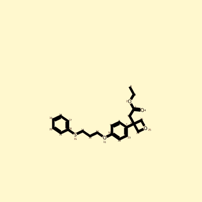 CCOC(=O)CC1(c2ccc(OCCCSc3ccccc3)cc2)COC1